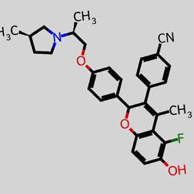 CC1=C(c2ccc(C#N)cc2)C(c2ccc(OC[C@H](C)N3CC[C@@H](C)C3)cc2)Oc2ccc(O)c(F)c21